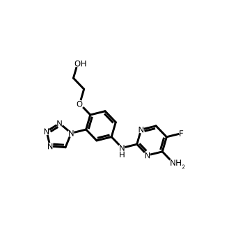 Nc1nc(Nc2ccc(OCCO)c(-n3cnnn3)c2)ncc1F